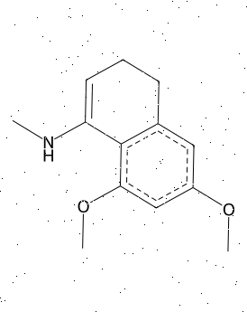 CNC1=CCCc2cc(OC)cc(OC)c21